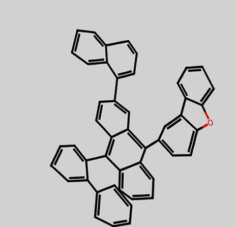 c1ccc(-c2ccccc2-c2c3ccccc3c(-c3ccc4oc5ccccc5c4c3)c3cc(-c4cccc5ccccc45)ccc23)cc1